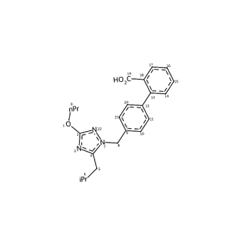 CCCOc1nc(CC(C)C)n(Cc2ccc(-c3ccccc3C(=O)O)cc2)n1